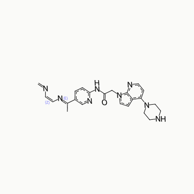 C=N/C=C\N=C(/C)c1ccc(NC(=O)Cn2ccc3c(N4CCNCC4)ccnc32)nc1